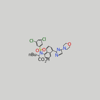 CCCCC(C(=O)O)N(c1cccc2c(-c3nccc(N4CCOCC4)n3)cccc12)S(=O)(=O)c1cc(Cl)cc(Cl)c1